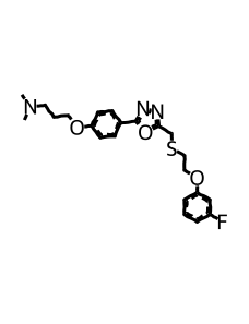 CN(C)CCCOc1ccc(-c2nnc(CSCCOc3cccc(F)c3)o2)cc1